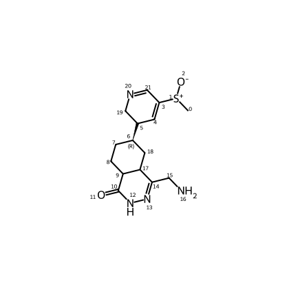 C[S+]([O-])C1=CC([C@@H]2CCC3C(=O)NN=C(CN)C3C2)CN=C1